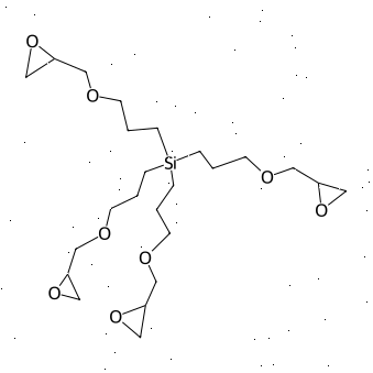 C(COCC1CO1)C[Si](CCCOCC1CO1)(CCCOCC1CO1)CCCOCC1CO1